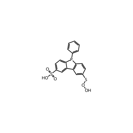 O=S(=O)(O)c1ccc2c(c1)c1cc(SOO)ccc1p2-c1ccccc1